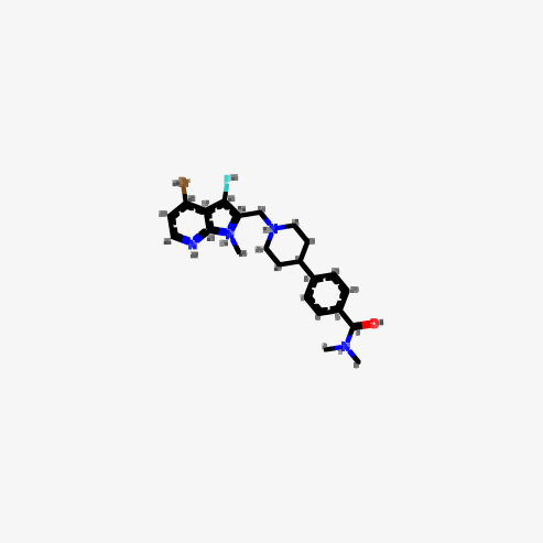 CN(C)C(=O)c1ccc(C2CCN(Cc3c(F)c4c(Br)ccnc4n3C)CC2)cc1